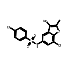 CCc1ccc(S(=O)(=O)Nc2cc(Cl)c3oc(C)c(C(C)=O)c3c2)cc1